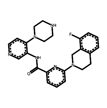 O=C(Nc1cnccc1N1CCNCC1)c1cccc(N2CCc3cccc(F)c3C2)n1